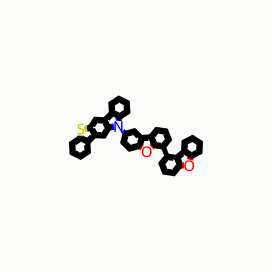 c1ccc2c(c1)oc1cccc(-c3cccc4c3oc3ccc(-n5c6ccccc6c6cc7sc8ccccc8c7cc65)cc34)c12